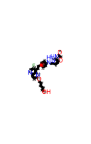 O=C1COc2ccc(CNC34CCC(CCc5c(F)cnc6ccc(OCCCCCO)nc56)(CC3)OC4)nc2N1